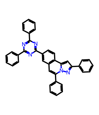 c1ccc(-c2cc3c4ccc(-c5nc(-c6ccccc6)nc(-c6ccccc6)n5)cc4cc(-c4ccccc4)n3n2)cc1